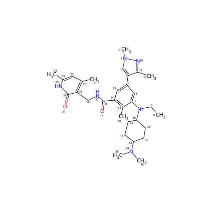 CCN(c1cc(-c2cn(C)nc2C)cc(C(=O)NCc2c(C)cc(C)[nH]c2=O)c1C)C1CCC(N(C)C)CC1